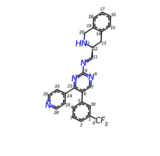 FC(F)(F)c1cccc(-c2cnc(N=C[C@@H]3Cc4ccccc4CN3)nc2-c2ccncc2)c1